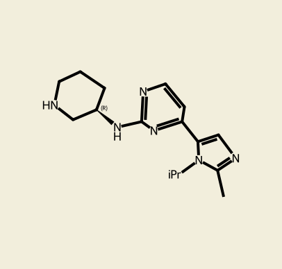 Cc1ncc(-c2ccnc(N[C@@H]3CCCNC3)n2)n1C(C)C